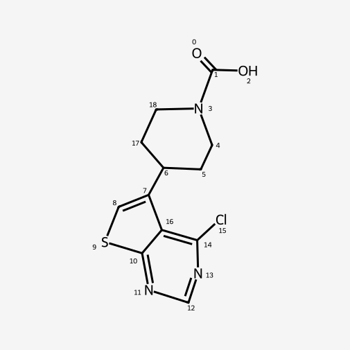 O=C(O)N1CCC(c2csc3ncnc(Cl)c23)CC1